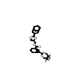 O=C(OCC1COC(C2CC3CCCC(C3)C2)O1)C12CCCC(=C(C3OCC(F)(F)C(F)(F)CO3)C1)C2